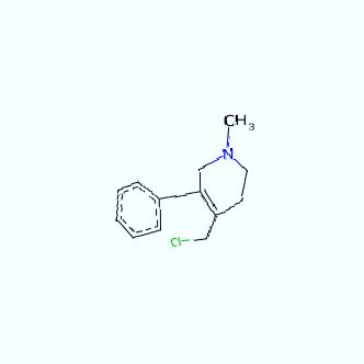 CN1CCC(CCl)=C(c2ccccc2)C1